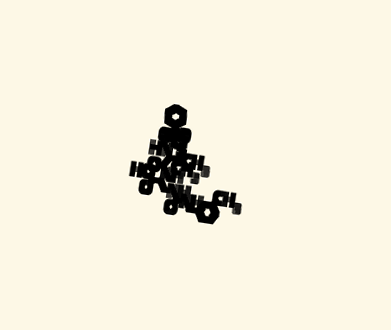 Cc1cccc(CNC(=O)NCC(NC(=O)C2NC(S(=O)(=O)c3ccccc3)SC2(C)C)C(=O)O)c1